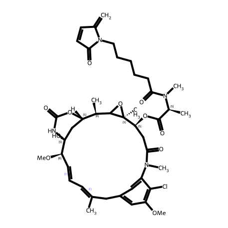 C=C1C=CC(=O)N1CCCCCC(=O)N(C)[C@@H](C)C(=O)O[C@H]1CC(=O)N(C)c2cc(cc(OC)c2Cl)C/C(C)=C/C=C/[C@@H](OC)[C@@]2(O)C[C@H](OC(=O)N2)[C@@H](C)C2O[C@]21C